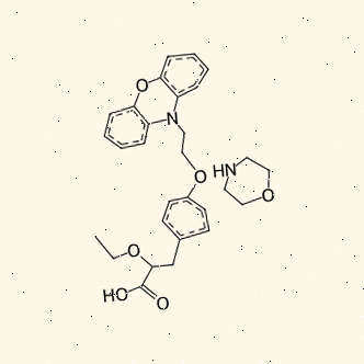 C1COCCN1.CCOC(Cc1ccc(OCCN2c3ccccc3Oc3ccccc32)cc1)C(=O)O